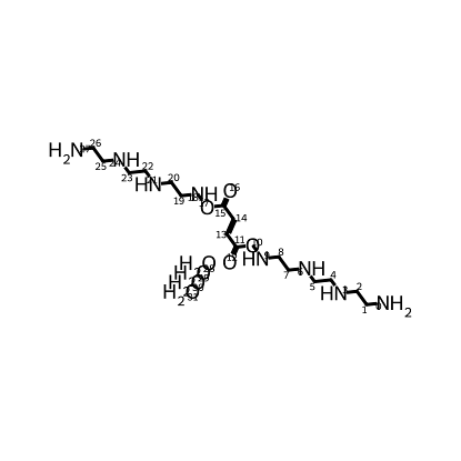 NCCNCCNCCNOC(=O)/C=C/C(=O)ONCCNCCNCCN.O.O.O.O